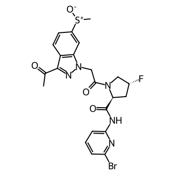 CC(=O)c1nn(CC(=O)N2C[C@H](F)C[C@H]2C(=O)Nc2cccc(Br)n2)c2cc([S+](C)[O-])ccc12